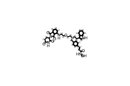 O=C(/C=C/c1ccc(CN(CCOCCNc2cccc3c2C(=O)N(C2CCC(=O)NC2=O)C3=O)CCc2c[nH]c3ccccc23)cc1)NO